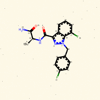 CC(C)(C)[C@H](NC(=O)c1nn(Cc2ccc(F)cc2)c2c(F)cccc12)C(N)=O